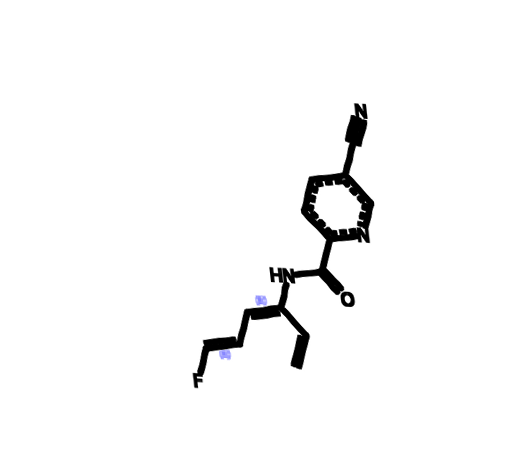 C=C/C(=C\C=C\F)NC(=O)c1ccc(C#N)cn1